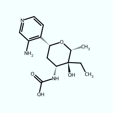 CC[C@]1(O)[C@H](NC(=O)O)C[C@H](c2ccncc2N)O[C@@H]1C